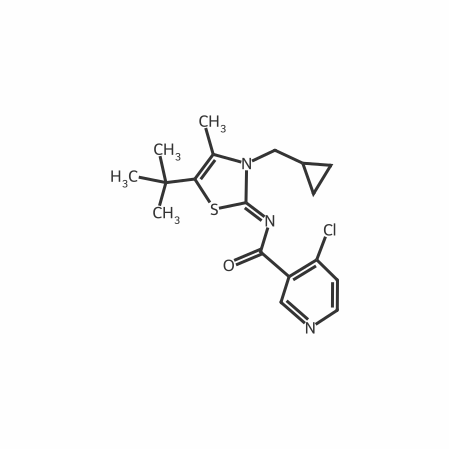 Cc1c(C(C)(C)C)s/c(=N\C(=O)c2cnccc2Cl)n1CC1CC1